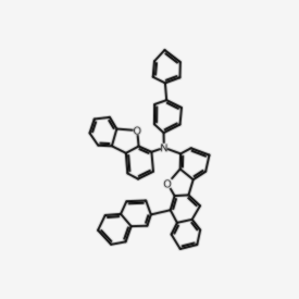 c1ccc(-c2ccc(N(c3cccc4c3oc3ccccc34)c3cccc4c3oc3c(-c5ccc6ccccc6c5)c5ccccc5cc34)cc2)cc1